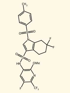 COc1nc(C(F)(F)F)c(F)cc1NS(=O)(=O)c1cn(S(=O)(=O)c2ccc(C)cc2)c2c1CCC(F)(F)C2